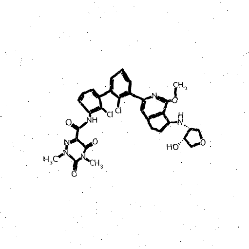 COc1nc(-c2cccc(-c3cccc(NC(=O)c4nn(C)c(=O)n(C)c4=O)c3Cl)c2Cl)cc2c1[C@@H](N[C@@H]1COC[C@@H]1O)CC2